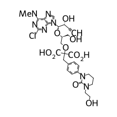 C#C[C@@H](O)[C@@H](O[C@@H](CO)COC(Cc1ccc(N2CCCN(CCO)C2=O)cc1)(C(=O)O)C(=O)O)n1cnc2c(NC)nc(Cl)nc21